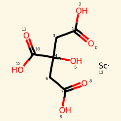 O=C(O)CC(O)(CC(=O)O)C(=O)O.[Sc]